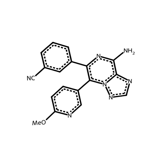 COc1ccc(-c2c(-c3cccc(C#N)c3)nc(N)c3ncnn23)cn1